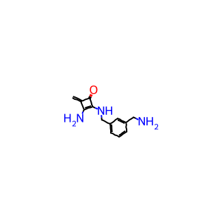 C=C1C(=O)C(NCc2cccc(CN)c2)=C1N